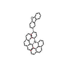 c1ccc2c(c1)ccc1cccc(N(c3ccc(-c4ccc5oc6ccccc6c5c4)cc3)c3cccc4ccc5ccccc5c34)c12